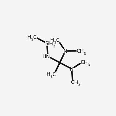 C[SiH2]NC(C)(N(C)C)N(C)C